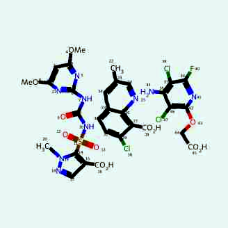 COc1cc(OC)nc(NC(=O)NS(=O)(=O)c2c(C(=O)O)cnn2C)n1.Cc1cnc2c(C(=O)O)c(Cl)ccc2c1.Nc1c(Cl)c(F)nc(OCC(=O)O)c1Cl